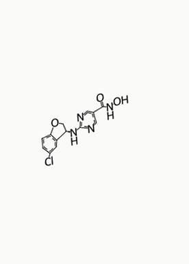 O=C(NO)c1cnc(N[C@@H]2COc3ccc(Cl)cc32)nc1